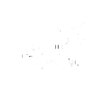 C[C@@H](CO[C@@H]1C=C[C@](C)(O)C1)[C@H]1CCC2C(=O)CCC[C@]21C